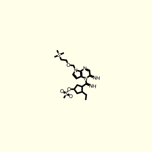 CCC1CC(OS(C)(=O)=O)CC1C(=N)n1c(=N)cnc2c1ccn2COCCS(C)(C)C